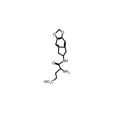 NC(CCC(=O)O)C(=O)NC1Cc2cc3c(cc2C1)OCO3